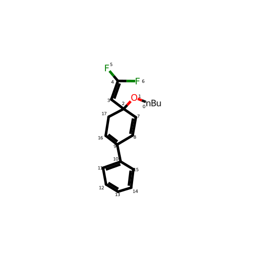 CCCCOC1(C=C(F)F)C=CC(c2ccccc2)=CC1